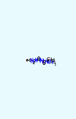 CCC(C)Nc1ccc(/N=N/c2ccc(/N=N/c3ccc(/N=N/c4ccc(-c5ccccc5)cc4)c4ccccc34)c3ccccc23)c2ccccc12